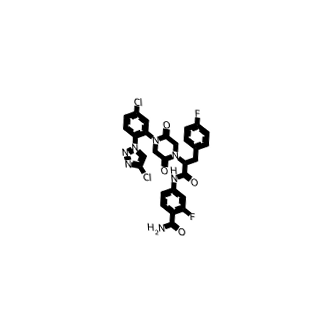 NC(=O)c1ccc(NC(=O)C(Cc2ccc(F)cc2)N2CC(=O)N(c3cc(Cl)ccc3-n3cc(Cl)nn3)CC2=O)cc1F